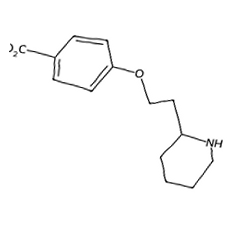 O=C(O)c1ccc(OCCC2CCCCN2)cc1